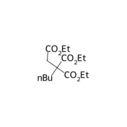 CCCCC(CC(=O)OCC)(C(=O)OCC)C(=O)OCC